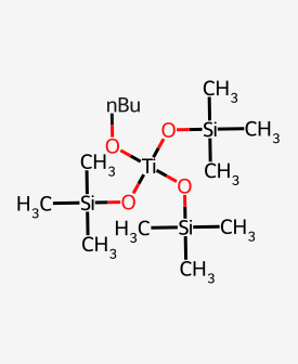 CCCC[O][Ti]([O][Si](C)(C)C)([O][Si](C)(C)C)[O][Si](C)(C)C